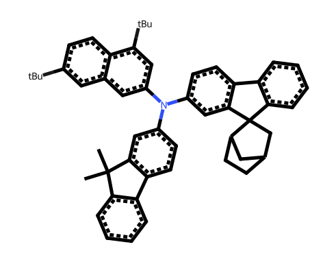 CC(C)(C)c1ccc2c(C(C)(C)C)cc(N(c3ccc4c(c3)C(C)(C)c3ccccc3-4)c3ccc4c(c3)C3(CC5CCC3C5)c3ccccc3-4)cc2c1